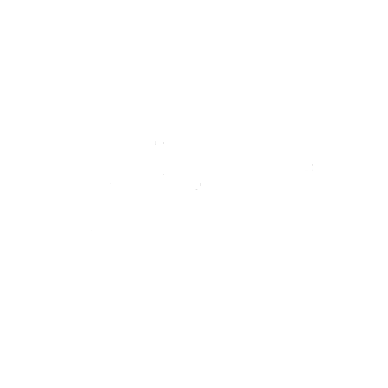 Cc1ccc(C(=O)OCCC[Si](C)(C)C)cc1C